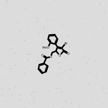 COc1ccccc1C1=C(Br)C(=O)OC1COC(=O)c1ccccc1